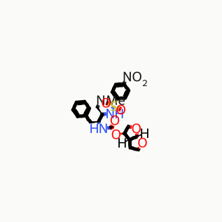 CNC[C@@H](NS(=O)(=O)c1ccc([N+](=O)[O-])cc1)[C@H](Cc1ccccc1)NC(=O)O[C@H]1CO[C@H]2OCC[C@H]21